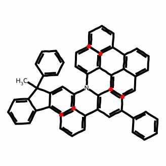 CC1(c2ccccc2)c2ccccc2-c2ccc(N(c3ccc(-c4ccccc4)cc3-c3ccccc3)c3ccccc3-c3cccc4cccc(-c5ccccc5)c34)cc21